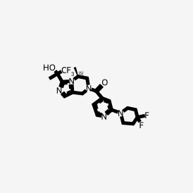 C[C@H]1CN(C(=O)c2ccnc(N3CCC(F)(F)CC3)c2)Cc2cnc(C(C)(O)C(F)(F)F)n21